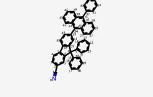 N#Cc1ccc2c(c1)C(c1ccccc1)(c1ccccc1)c1cc(-c3c4ccccc4c(-c4ccccc4)c4ccccc34)ccc1-2